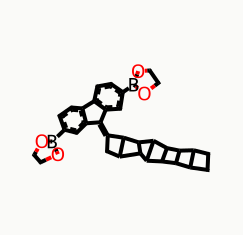 c1cc2c(cc1B1OCCO1)C(=C1CC3C1C1C3C3C4C5C6CCC6C5C4C13)c1cc(B3OCCO3)ccc1-2